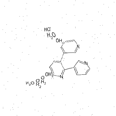 Cl.O.O.O.O.O.O.c1cncc(-c2cccnc2-c2cccnc2)c1